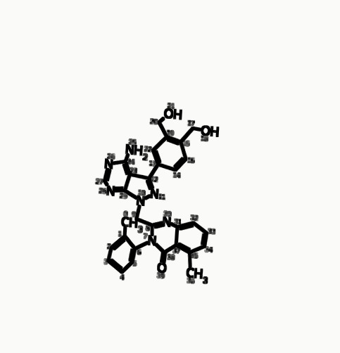 Cc1ccccc1-n1c(Cn2nc(-c3ccc(CO)c(CO)c3)c3c(N)ncnc32)nc2cccc(C)c2c1=O